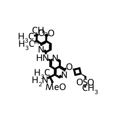 COCC(C)(N)c1cnc(O[C@H]2C[C@H](CS(C)(=O)=O)C2)c2cnc(Nc3ccc4c(n3)[C@@H](C)C(C)(C)OC4=O)cc12